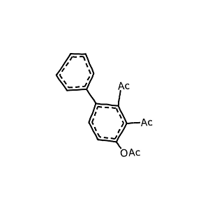 CC(=O)Oc1ccc(-c2ccccc2)c(C(C)=O)c1C(C)=O